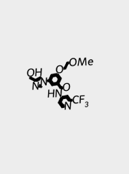 COCCOc1cc(C(=O)Nc2ccnc(C(F)(F)F)c2)cc(-n2cnc(CO)c2)c1